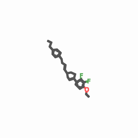 CCCc1ccc(CC/C=C/C2CC=C(c3ccc(OCC)c(F)c3F)CC2)cc1